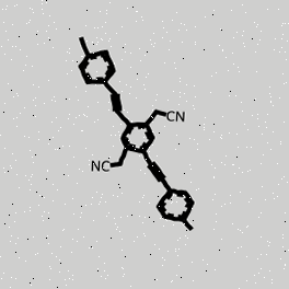 Cc1ccc(C#Cc2cc(CC#N)c(C#Cc3ccc(C)cc3)cc2CC#N)cc1